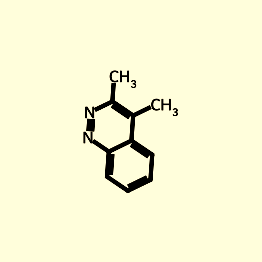 Cc1nnc2ccccc2c1C